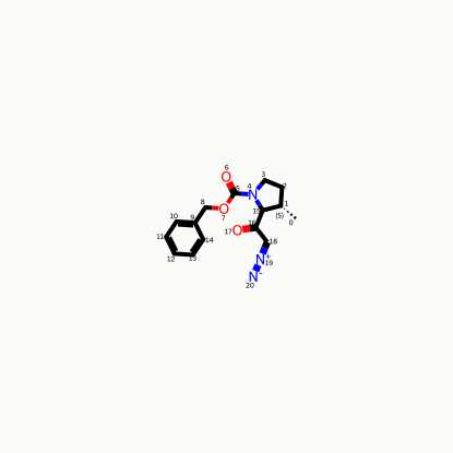 C[C@H]1CCN(C(=O)OCc2ccccc2)C1C(=O)C=[N+]=[N-]